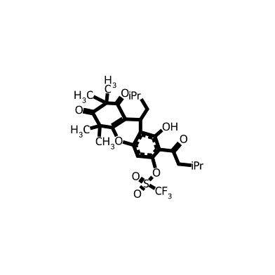 CC(C)CC(=O)c1c(OS(=O)(=O)C(F)(F)F)cc2c(c1O)C(CC(C)C)C1=C(O2)C(C)(C)C(=O)C(C)(C)C1=O